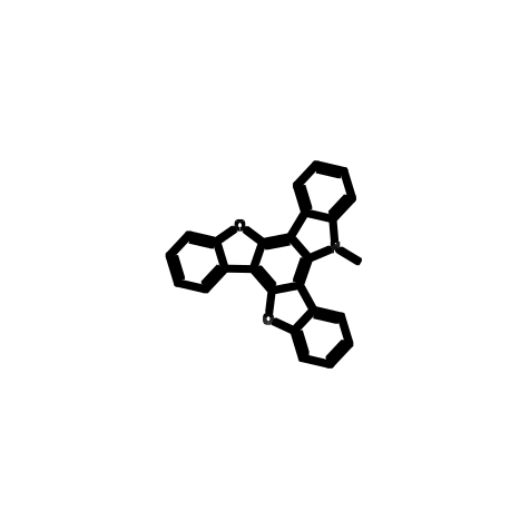 Cn1c2ccccc2c2c3oc4ccccc4c3c3oc4ccccc4c3c21